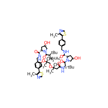 CC(=O)N[C@H](C(=O)N1C[C@H](O)C[C@H]1C(=O)NCc1ccc(-c2scnc2C)cc1OC(C)(C)COC(C)(C)CC(=O)N[C@H](C(=O)N1C[C@H](O)C[C@H]1C(=O)NCc1ccc(-c2scnc2C)cc1)C(C)(C)C)C(C)(C)C